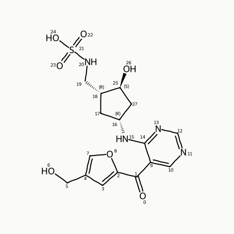 O=C(c1cc(CO)co1)c1cncnc1N[C@@H]1C[C@H](CNS(=O)(=O)O)[C@@H](O)C1